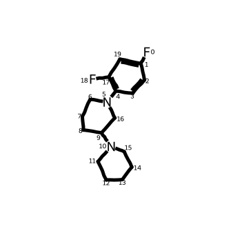 Fc1ccc(N2CCCC(N3CCCCC3)C2)c(F)c1